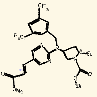 CC[C@@H]1CC(N(Cc2cc(C(F)(F)F)cc(C(F)(F)F)c2)c2ncc(/C=C/C(=O)OC)cn2)CN1C(=O)OC(C)(C)C